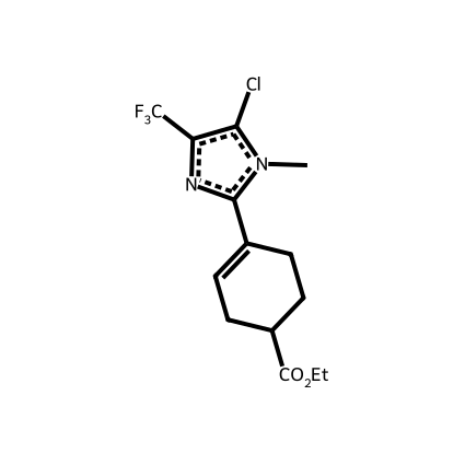 CCOC(=O)C1CC=C(c2nc(C(F)(F)F)c(Cl)n2C)CC1